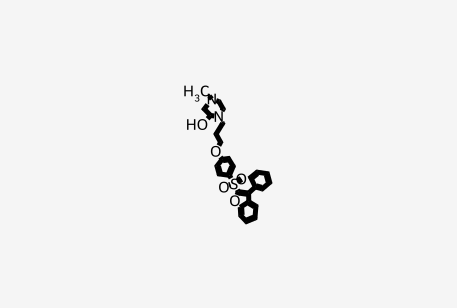 CN1CCN(CCCOc2ccc(S(=O)(=O)c3oc4ccccc4c3-c3ccccc3)cc2)C(O)C1